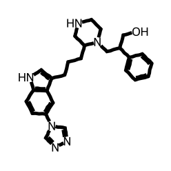 OCC(CN1CCNCC1CCCc1c[nH]c2ccc(-n3cnnc3)cc12)c1ccccc1